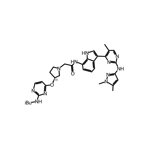 CCC(C)Nc1nccc(O[C@H]2CCN(CC(=O)Nc3cccc4c(-c5nc(Nc6cc(C)n(C)n6)ncc5C)c[nH]c34)C2)n1